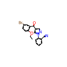 CCOc1ccc(Br)cc1C(=O)c1cnn(-c2ccccc2C#N)c1